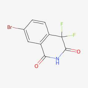 O=C1NC(=O)C(F)(F)c2ccc(Br)cc21